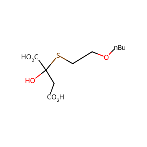 CCCCOCCSC(O)(CC(=O)O)C(=O)O